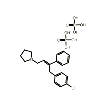 Clc1ccc(C/C(=C\CN2CCCC2)c2ccccc2)cc1.O=P(O)(O)O.O=P(O)(O)O